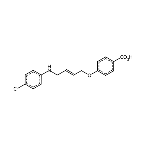 O=C(O)c1ccc(OCC=CCNc2ccc(Cl)cc2)cc1